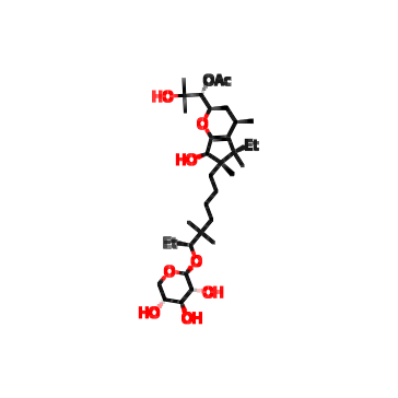 CC[C@H](O[C@@H]1OC[C@@H](O)[C@H](O)[C@H]1O)C(C)(C)CCCC[C@]1(C)[C@@H](O)C2=C([C@H](C)C[C@H]([C@@H](OC(C)=O)C(C)(C)O)O2)[C@@]1(C)CC